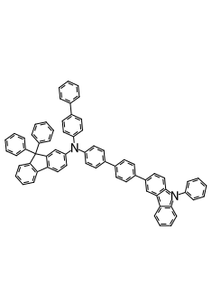 c1ccc(-c2ccc(N(c3ccc(-c4ccc(-c5ccc6c(c5)c5ccccc5n6-c5ccccc5)cc4)cc3)c3ccc4c(c3)C(c3ccccc3)(c3ccccc3)c3ccccc3-4)cc2)cc1